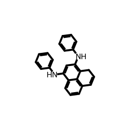 C1=Cc2cccc3c(Nc4ccccc4)cc(Nc4ccccc4)c(c23)C1